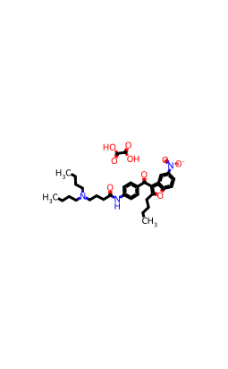 CCCCc1oc2ccc([N+](=O)[O-])cc2c1C(=O)c1ccc(NC(=O)CCCN(CCCC)CCCC)cc1.O=C(O)C(=O)O